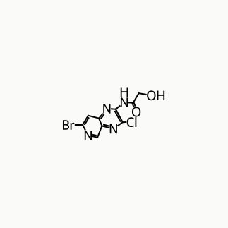 O=C(CO)Nc1nc2cc(Br)ncc2nc1Cl